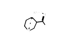 CO/N=C(/F)C1CN2CCC1CC2